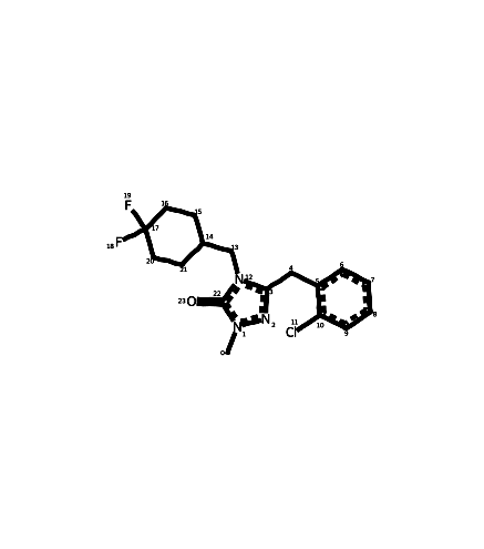 Cn1nc(Cc2ccccc2Cl)n(CC2CCC(F)(F)CC2)c1=O